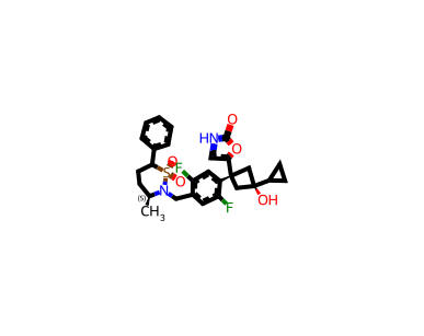 C[C@H]1CCC(c2ccccc2)S(=O)(=O)N1Cc1cc(F)c([C@]2(c3c[nH]c(=O)o3)C[C@@](O)(C3CC3)C2)cc1F